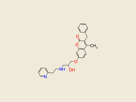 Cc1c(Cc2ccccc2)c(=O)oc2cc(OCC(O)CNCCc3ccccn3)ccc12